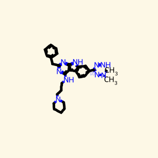 CN(C)/N=C(\N=N)c1ccc2c(c1)[nH]c1nc(Cc3ccccc3)nc(NCCCN3CCCCC3)c12